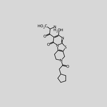 NC(C(=O)O)C(=O)c1c(O)nc2sc3c(n2c1=O)CCN(C(=O)CC1CCCC1)C3